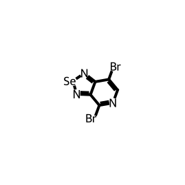 Brc1cnc(Br)c2n[se]nc12